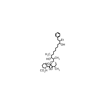 CC[C@H](Cc1ccccc1)[C@@H](O)CCCCCC[C@@H](C)[C@H](O)[C@@H](C)[C@@H]1CC[C@@H](C)C(=O)C(O)(C(=O)N2CCCC[C@H]2C(=O)O)O1